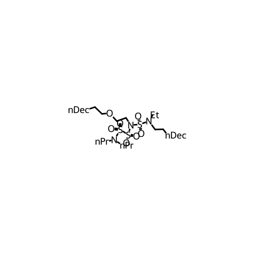 CCCCCCCCCCCCOCCN(S(=O)(=O)N(CC)CCCCCCCCCCCC)S(=O)(=O)S(=O)(=O)N(CCC)CCC